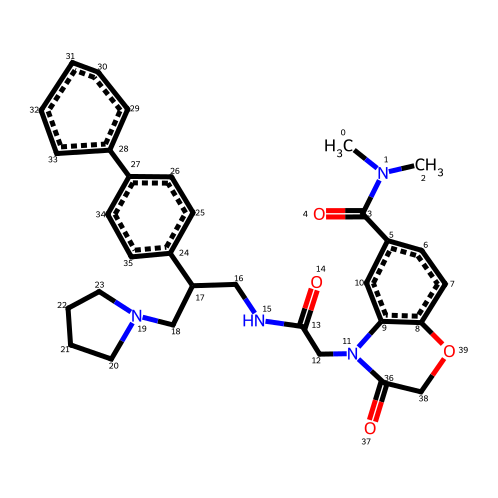 CN(C)C(=O)c1ccc2c(c1)N(CC(=O)NCC(CN1CCCC1)c1ccc(-c3ccccc3)cc1)C(=O)CO2